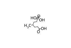 CC(CCC(=O)O)CCP(=O)(O)O